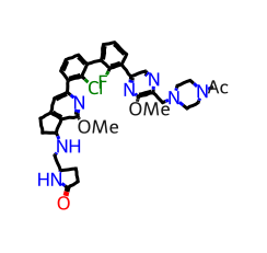 COc1nc(-c2cccc(-c3cccc(-c4cc5c(c(OC)n4)C(NCC4CCC(=O)N4)CC5)c3Cl)c2F)cnc1CN1CCN(C(C)=O)CC1